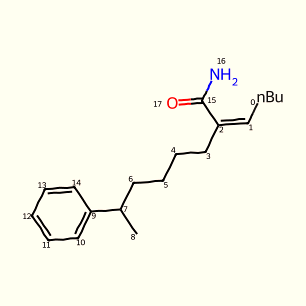 CCCC/C=C(/CCCCC(C)c1ccccc1)C(N)=O